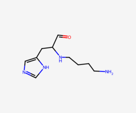 NCCCCNC(C=O)Cc1cnc[nH]1